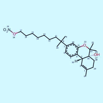 CC1=C[C@@H]2c3ccc(C(C)(C)CCCCCCCO[N+](=O)[O-])cc3OC(C)(C)[C@@]2(O)CC1